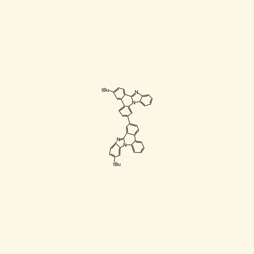 CC(C)(C)c1ccc2c(c1)c1ccc(-c3ccc4c5ccccc5n5c6cc(C(C)(C)C)ccc6nc5c4c3)cc1n1c3ccccc3nc21